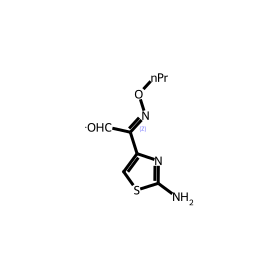 CCCO/N=C(\[C]=O)c1csc(N)n1